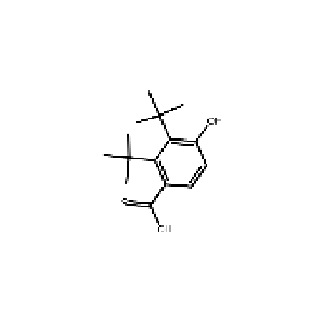 CC(C)(C)c1c(O)ccc(C(O)=S)c1C(C)(C)C